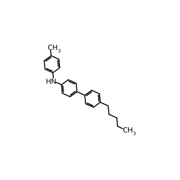 CCCCCc1ccc(-c2ccc(Nc3ccc(C)cc3)cc2)cc1